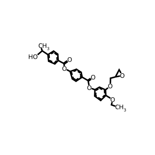 CCOc1ccc(OC(=O)c2ccc(OC(=O)c3ccc(C(C)O)cc3)cc2)cc1OCC1CO1